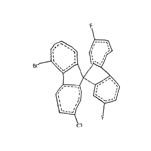 Fc1ccc2c(c1)C1(c3cc(F)ccc3-2)c2cc(Cl)ccc2-c2c(Br)cccc21